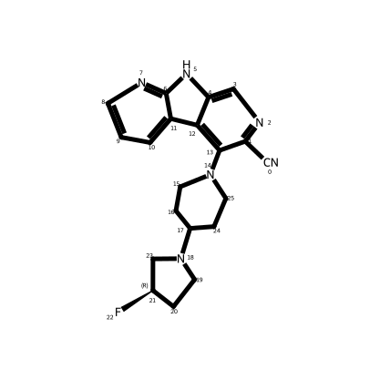 N#Cc1ncc2[nH]c3ncccc3c2c1N1CCC(N2CC[C@@H](F)C2)CC1